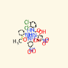 CSc1ccccc1NC(=O)Nc1ccc([N+](=O)[O-])cc1O.O=C(Nc1ccc([N+](=O)[O-])cc1O)Nc1cccc(Cl)c1Cl